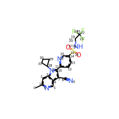 Cc1cc2c(cn1)c(C#N)c(-c1ccc(S(=O)(=O)N[C@H](C)C(F)(F)F)cn1)n2C1CCC1